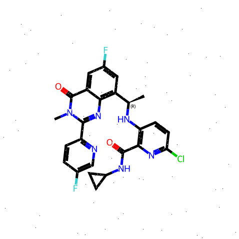 C[C@@H](Nc1ccc(Cl)nc1C(=O)NC1CC1)c1cc(F)cc2c(=O)n(C)c(-c3ccc(F)cn3)nc12